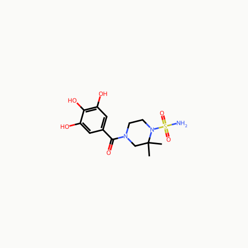 CC1(C)CN(C(=O)c2cc(O)c(O)c(O)c2)CCN1S(N)(=O)=O